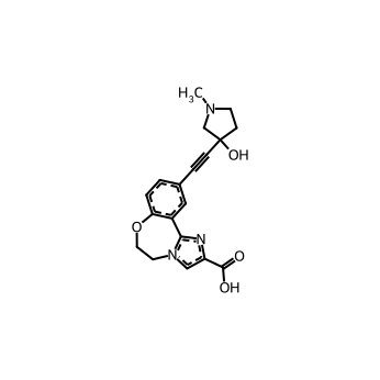 CN1CCC(O)(C#Cc2ccc3c(c2)-c2nc(C(=O)O)cn2CCO3)C1